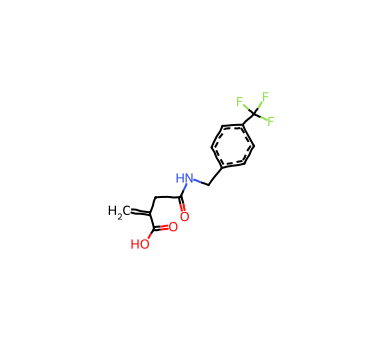 C=C(CC(=O)NCc1ccc(C(F)(F)F)cc1)C(=O)O